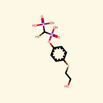 O=P(O)(O)C(S)P(=O)(O)Oc1ccc(SCCO)cc1